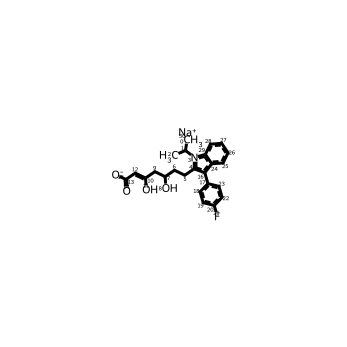 CC(C)n1c(CCC(O)CC(O)=CC(=O)[O-])c(-c2ccc(F)cc2)c2ccccc21.[Na+]